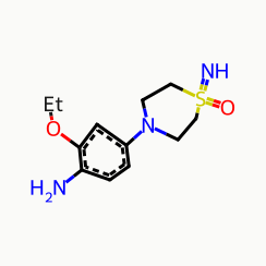 CCOc1cc(N2CCS(=N)(=O)CC2)ccc1N